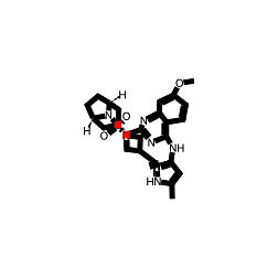 COc1ccc2c(Nc3cc(C)[nH]n3)nc(N[C@@H]3C[C@H]4CC[C@@H](C3)N4S(=O)(=O)N3CC(C#N)C3)nc2c1